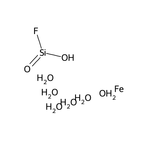 O.O.O.O.O.O.O=[Si](O)F.[Fe]